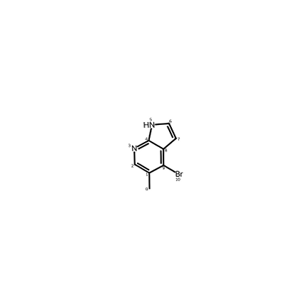 Cc1cnc2[nH]ccc2c1Br